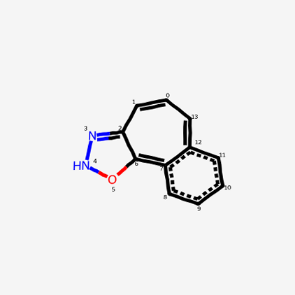 C1=CC2=NNOC2=c2ccccc2=C1